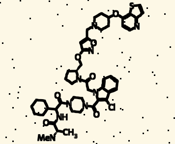 CN[C@@H](C)C(=O)NC(C(=O)N1CCN(C(=O)c2c(Cl)c3ccccc3n2CC(=O)N2CCC[C@H]2COc2cc(CN3CCC(Oc4ccnc5ccsc45)CC3)on2)CC1)C1CCCCC1